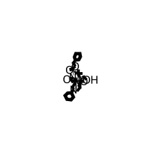 CC1(C)[C@H](C(=O)OCc2ccccc2)N2C(=O)C[C@H]2[S@@]1(CO)C(=O)N1CCN(c2ccccc2)CC1